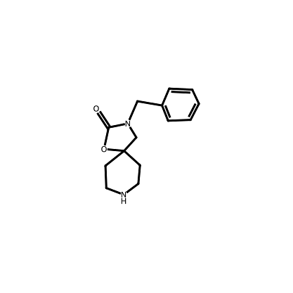 O=C1OC2(CCNCC2)CN1Cc1ccccc1